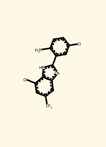 Nc1ccc(Cl)cc1-c1nc2cc(C(F)(F)F)cc(Cl)c2[nH]1